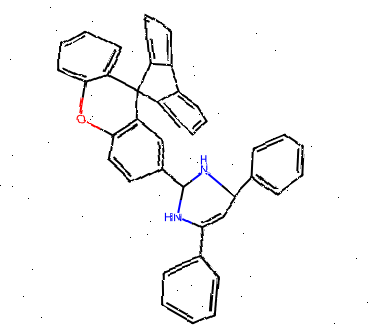 C1=C(c2ccccc2)NC(c2ccc3c(c2)C2(c4ccccc4O3)c3ccccc3-c3ccccc32)NC1c1ccccc1